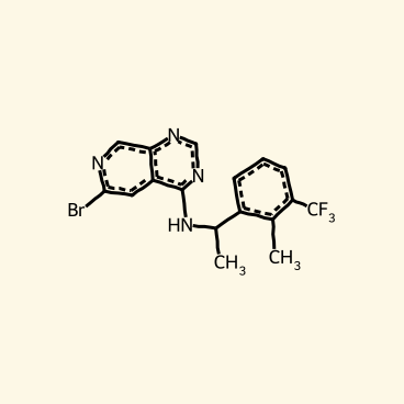 Cc1c(C(C)Nc2ncnc3cnc(Br)cc23)cccc1C(F)(F)F